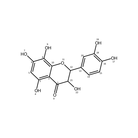 O=C1c2c(O)cc(O)c(O)c2OC(c2ccc(O)c(O)c2)C1O